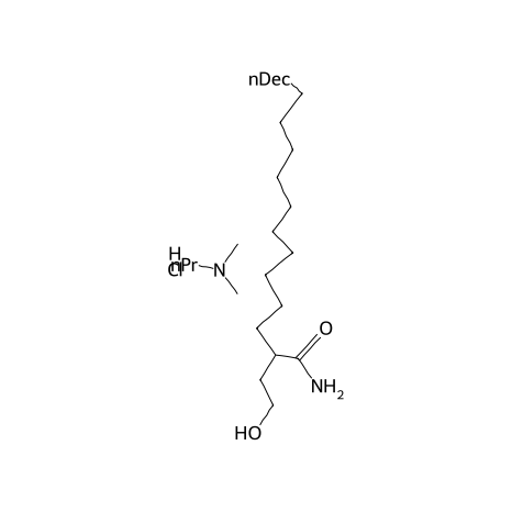 CCCCCCCCCCCCCCCCCCCCC(CCO)C(N)=O.CCCN(C)C.Cl